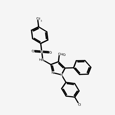 O=Cc1c(NS(=O)(=O)c2ccc(C(F)(F)F)cc2)nn(-c2ccc(Cl)cc2)c1-c1ccccc1